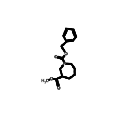 COC(=O)C1CCCCN(C(=O)OCc2ccccc2)C1